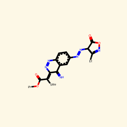 CCC1=NOC(=O)C1/N=N/c1ccc2c(c1)C(=N)/C(=C(\SC)C(=O)OC(C)C)N=N2